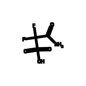 NC(=O)C(F)(F)S(=O)(=O)O